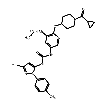 CS(=O)(=O)O.Cc1ccc(-n2nc(C(C)(C)C)cc2NC(=O)Nc2cnc(OC3CCN(C(=O)C4CC4)CC3)c(Cl)c2)cc1